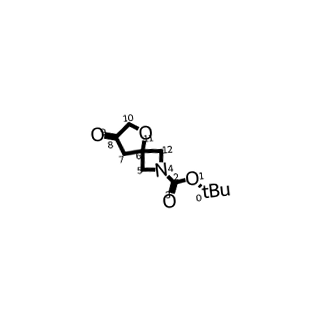 CC(C)(C)OC(=O)N1CC2(CC(=O)CO2)C1